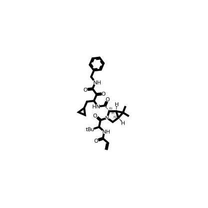 C=CC(=O)NC(C(=O)N1C[C@H]2[C@@H]([C@H]1C(=O)NC(CC1CC1)C(=O)C(=O)NCc1ccccc1)C2(C)C)C(C)(C)C